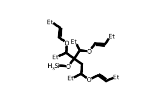 CCC=COC(CC)CC(O[SiH3])(C(CC)OC=CCC)C(CC)OC=CCC